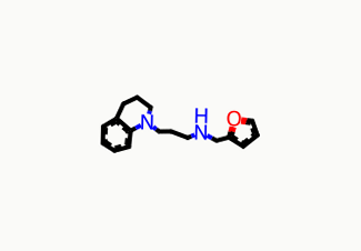 c1coc(CNCCCN2CCCc3ccccc32)c1